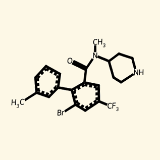 Cc1cccc(-c2c(Br)cc(C(F)(F)F)cc2C(=O)N(C)C2CCNCC2)c1